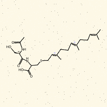 CC(=O)N[C@H](CO)C(=O)NC(CSC/C=C(\C)CC/C=C(\C)CCC=C(C)C)C(=O)O